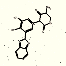 CC(C)(C)c1cc(C2C(=O)NCC(N)C2=O)cc(-n2nc3ccccc3n2)c1O